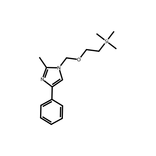 Cc1nc(-c2ccccc2)cn1COCC[Si](C)(C)C